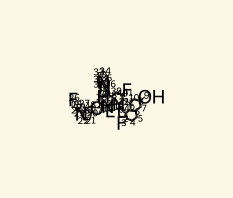 CCc1c(F)ccc2cc(O)cc(-c3nc4nc(OC[C@@]56CCCN5C[C@H](F)C6)cc(N5CC6CCC(C5)N6)c4cc3F)c12